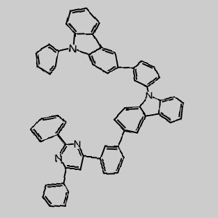 c1ccc(-c2cc(-c3cccc(-c4ccc5c(c4)c4ccccc4n5-c4cccc(-c5ccc6c(c5)c5ccccc5n6-c5ccccc5)c4)c3)nc(-c3ccccc3)n2)cc1